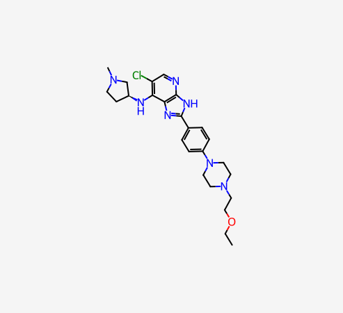 CCOCCN1CCN(c2ccc(-c3nc4c(N[C@H]5CCN(C)C5)c(Cl)cnc4[nH]3)cc2)CC1